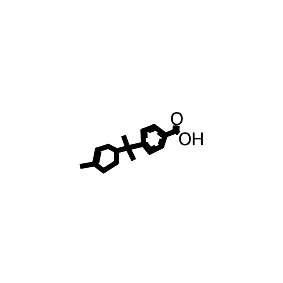 CC1=CCC(C(C)(C)c2ccc(C(=O)O)cc2)CC1